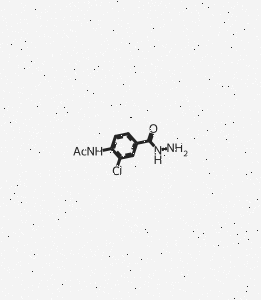 CC(=O)Nc1ccc(C(=O)NN)cc1Cl